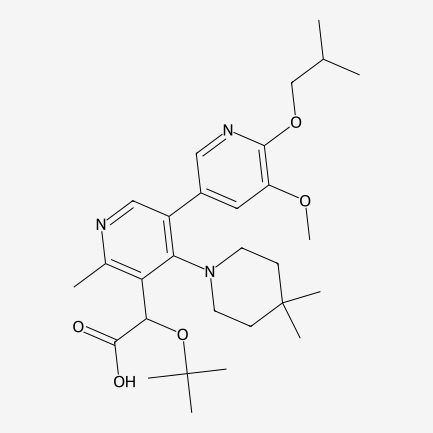 COc1cc(-c2cnc(C)c(C(OC(C)(C)C)C(=O)O)c2N2CCC(C)(C)CC2)cnc1OCC(C)C